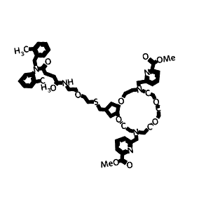 COC(=O)c1cccc(CN2CCOCCOCCN(Cc3cccc(C(=O)OC)n3)CCOC3CC(CSCCOCCNC(=O)CCC(=O)N(Cc4ccccc4C)c4ccccc4C)CC3OCC2)n1